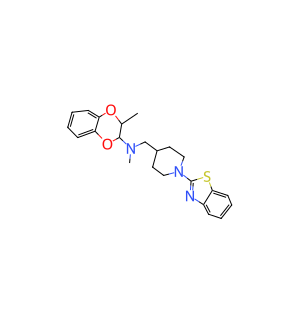 CC1Oc2ccccc2OC1N(C)CC1CCN(c2nc3ccccc3s2)CC1